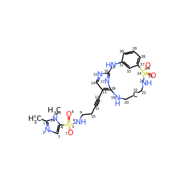 Cc1ncc(S(=O)(=O)NCCC#Cc2cnc3nc2NCCCNS(=O)(=O)c2cccc(c2)N3)n1C